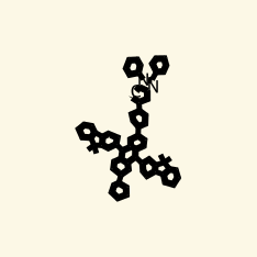 CC1(C)c2ccccc2-c2ccc(-c3c4ccc(-c5ccc(-c6ccc7c(c6)nc(-c6ccccc6)n7-c6ccccc6)cc5)cc4c(-c4ccc5c(c4)C(C)(C)c4ccccc4-5)c4ccc(-c5ccccc5)cc34)cc21